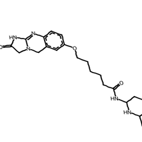 O=C1CN2Cc3cc(OCCCCCC(=O)NC4CCC5CCCCC5N4)ccc3N=C2N1